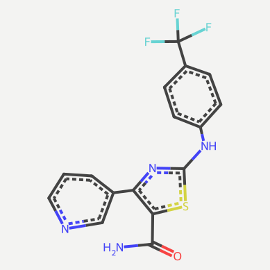 NC(=O)c1sc(Nc2ccc(C(F)(F)F)cc2)nc1-c1cccnc1